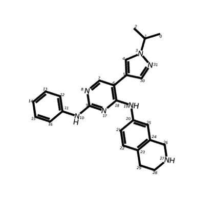 CC(C)n1cc(-c2cnc(Nc3ccccc3)nc2Nc2ccc3c(c2)CNCC3)cn1